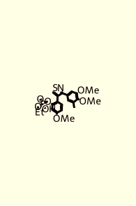 CCOP(=O)(O)Oc1cc(OC)ccc1-c1csnc1-c1cc(C)c(OC)c(OC)c1